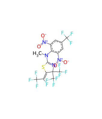 CN(C1=NC(C(F)(F)F)(C(F)(F)F)C(=C(F)C(F)(F)F)S1)c1c([N+](=O)[O-])cc(C(F)(F)F)cc1[N+](=O)[O-]